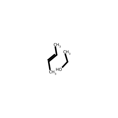 CC=CC.CCO